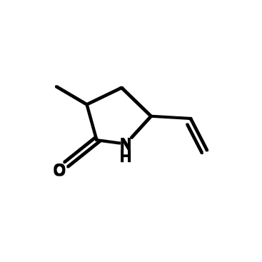 C=CC1CC(C)C(=O)N1